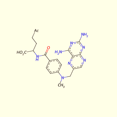 CC(=O)CCC(NC(=O)c1ccc(N(C)Cc2cnc3nc(N)nc(N)c3n2)cc1)C(=O)O